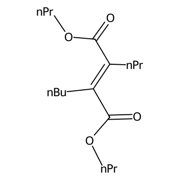 CCCCC(C(=O)OCCC)=C(CCC)C(=O)OCCC